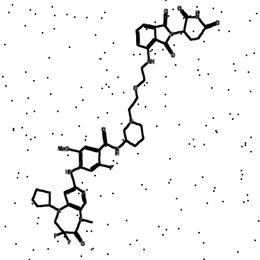 COc1cc(C(=O)NC2CCCN(CCOCCNc3cccc4c3C(=O)N(C3CCC(=O)NC3=O)C4=O)C2)c(F)cc1Nc1cc2c(cn1)N(C)C(=O)C(F)(F)CN2C1CCCC1